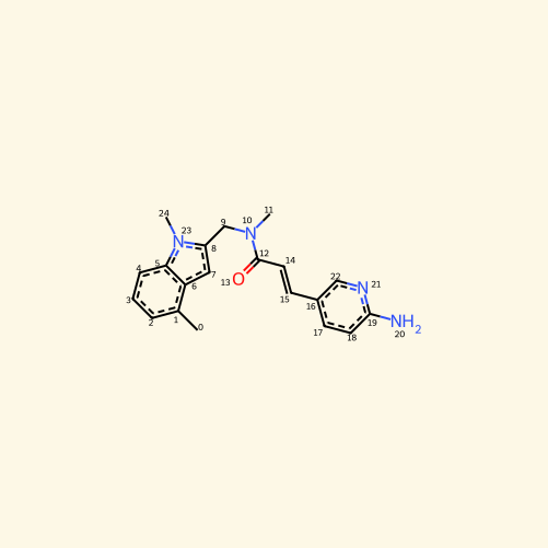 Cc1cccc2c1cc(CN(C)C(=O)/C=C/c1ccc(N)nc1)n2C